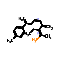 C=C(/C=C\CC(=C)c1ccc(C)cc1)/C(CC)=C(\C)P